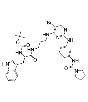 CC(C)(C)OC(=O)N[C@H](Cc1c[nH]c2ccccc12)C(=O)NCCCNc1nc(Nc2cccc(NC(=O)N3CCCC3)c2)ncc1Br